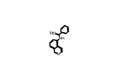 N=C(Nc1cccc2cnccc12)c1ccccc1